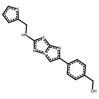 OCc1ccc(-c2cn3nc(NCc4cccs4)sc3n2)cc1